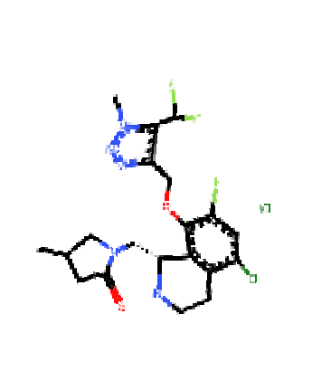 CC1CC(=O)N(C[C@H]2NCCc3c(Cl)cc(F)c(OCc4nnn(C)c4C(F)F)c32)C1.Cl